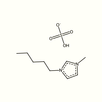 CCCCC[n+]1ccn(C)c1.O=S(=O)([O-])O